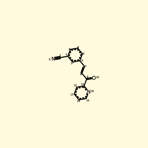 N#Cc1cccc(C=CC(=O)c2ccccn2)c1